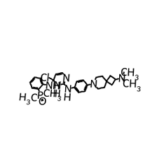 CN(C)C1CC2(CCN(c3ccc(NC4=NC=CC(Cl)(Nc5ccccc5P(C)(C)=O)N4)cc3)CC2)C1